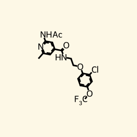 CC(=O)Nc1cc(C(=O)NCCOc2ccc(OC(F)(F)F)cc2Cl)cc(C)n1